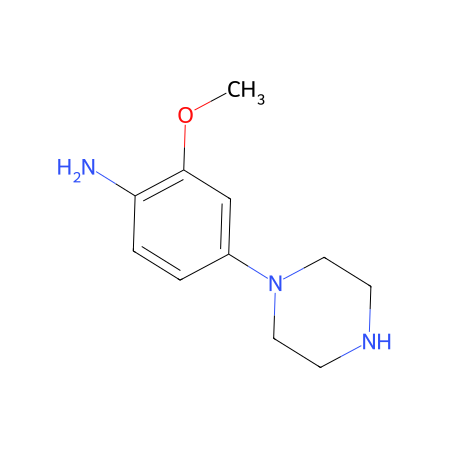 COc1cc(N2CCNCC2)ccc1N